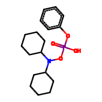 O=P(O)(Oc1ccccc1)ON(C1CCCCC1)C1CCCCC1